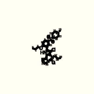 CCCOc1ccc(S(=O)(=O)N2CCN(C)CC2)cc1-c1[nH]c2c(c1Cl)n(CCC)c(=O)n1cnnc21